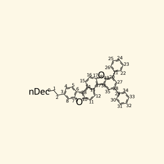 CCCCCCCCCCCCc1ccc2c(c1)oc1ccc3c(ccc4oc5c(-c6ccccc6)cc(-c6ccccc6)cc5c43)c12